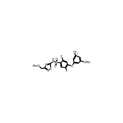 COCc1nsc(NS(=O)(=O)c2cc(F)c(Oc3cc(OC)cc(C(F)(F)F)c3)cc2F)n1